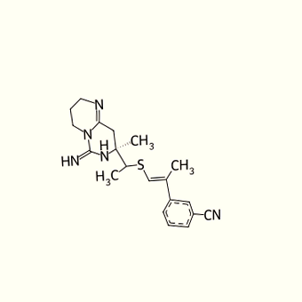 C/C(=C\SC(C)[C@]1(C)CC2=NCCCN2C(=N)N1)c1cccc(C#N)c1